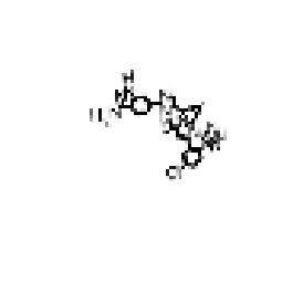 Nc1n[nH]c2cc(-c3ncc(C4C5CC5c5nc(-c6cc(Cl)ccc6-n6cnnn6)cc(=O)n54)[nH]3)ccc12